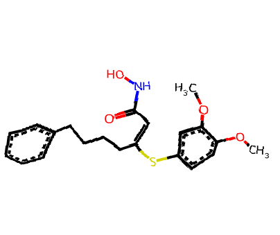 COc1ccc(SC(=CC(=O)NO)CCCCc2ccccc2)cc1OC